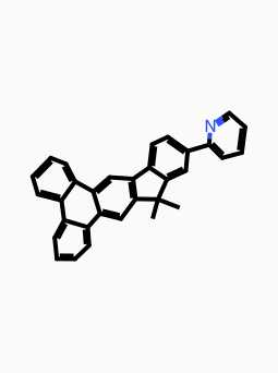 CC1(C)c2cc(-c3ccccn3)ccc2-c2cc3c4ccccc4c4ccccc4c3cc21